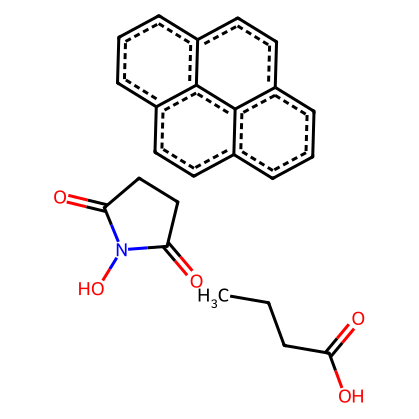 CCCC(=O)O.O=C1CCC(=O)N1O.c1cc2ccc3cccc4ccc(c1)c2c34